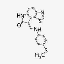 CSc1ccc(N/C=C2/C(=O)Nc3ccc4ncsc4c32)cc1